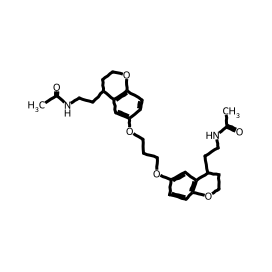 CC(=O)NCCC1CCOc2ccc(OCCCOc3ccc4c(c3)C(CCNC(C)=O)CCO4)cc21